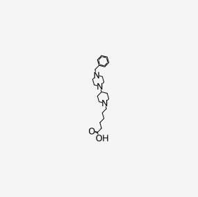 O=C(O)CCCCCN1CCC(N2CCN(Cc3ccccc3)CC2)CC1